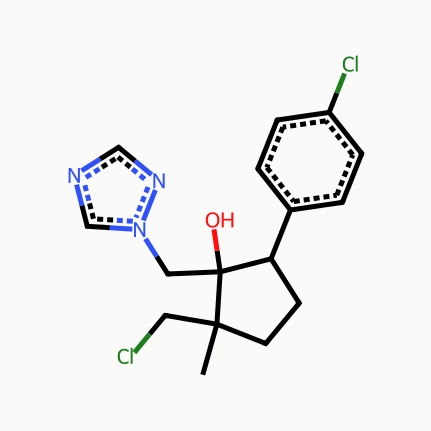 CC1(CCl)CCC(c2ccc(Cl)cc2)C1(O)Cn1cncn1